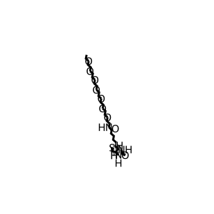 CCOCCOCCOCCOCCOCCOCCOCCNC(=O)CCCC[C@@H]1SC[C@@H]2NC(=O)N[C@@H]21